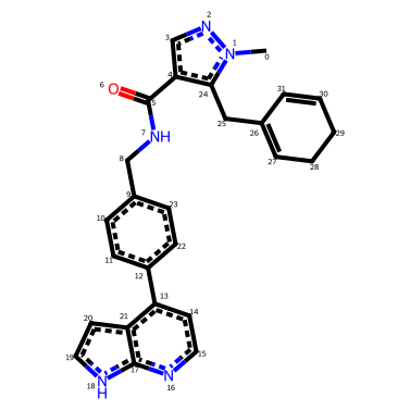 Cn1ncc(C(=O)NCc2ccc(-c3ccnc4[nH]ccc34)cc2)c1CC1=CCCC=C1